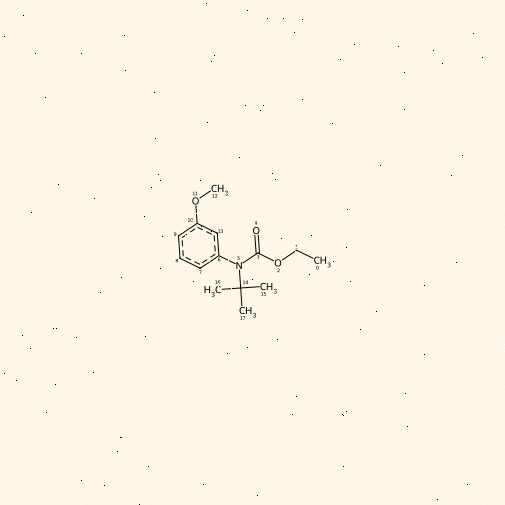 CCOC(=O)N(c1cccc(OC)c1)C(C)(C)C